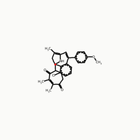 COc1ccc(/C2=C/C(NCC3CCC(=O)C(C)=C(C)C3=O)=C(\C)CCc3c(Cl)cccc32)cc1